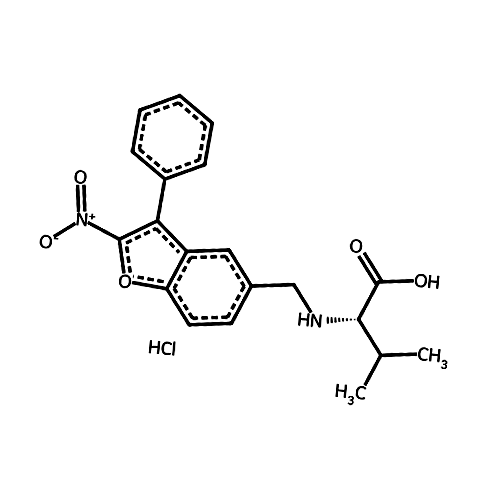 CC(C)[C@H](NCc1ccc2oc([N+](=O)[O-])c(-c3ccccc3)c2c1)C(=O)O.Cl